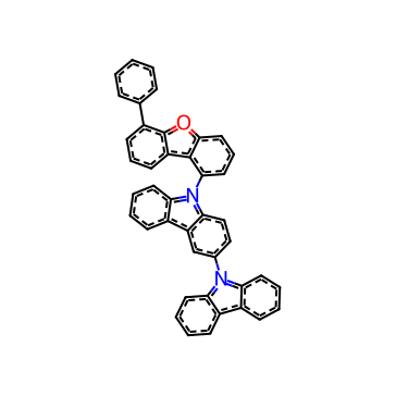 c1ccc(-c2cccc3c2oc2cccc(-n4c5ccccc5c5cc(-n6c7ccccc7c7ccccc76)ccc54)c23)cc1